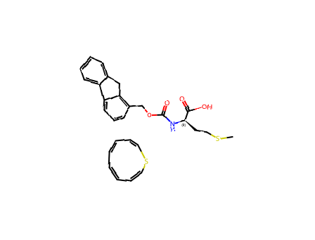 CSCC[C@@H](NC(=O)OCc1cccc2c1Cc1ccccc1-2)C(=O)O.c1ccccsccc1